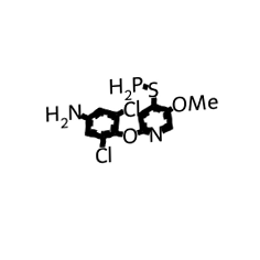 COc1cnc(Oc2c(Cl)cc(N)cc2Cl)cc1SP